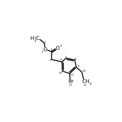 CCOC(=O)Cc1ccc(CC)c(Br)c1